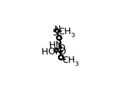 Cc1cccc(C(=O)N2C[C@H](O)C[C@H]2C(=O)NCc2ccc(-c3scnc3C)cc2)c1